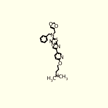 CN(C)CCCOc1ccc(-c2cn3nc(N(CC4=COCO4)Cc4ccccc4)sc3n2)cn1